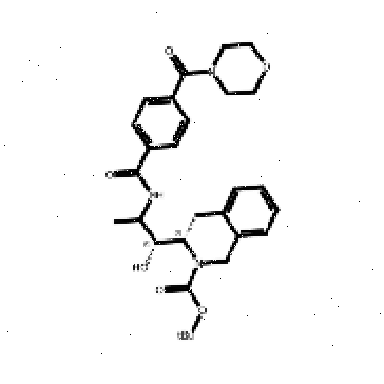 CC(NC(=O)c1ccc(C(=O)N2CCOCC2)cc1)[C@@H](O)[C@@H]1Cc2ccccc2CN1C(=O)OC(C)(C)C